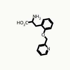 NC(Cc1ccccc1OCc1ccccn1)C(=O)O